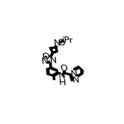 Cc1ccc(-c2noc(C3CC(=NOC(C)C)C3)n2)cc1NC(=O)c1cnc2ccccn12